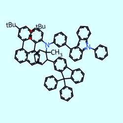 CC(C)(C)c1cc(-c2cccc3cccc(-c4ccccc4N(c4cccc(-c5cccc6c5c5ccccc5n6-c5ccccc5)c4)C4(C)C=CC=CC4c4ccc5c(c4)C(c4ccccc4)(c4ccccc4)c4ccccc4-5)c23)cc(C(C)(C)C)c1